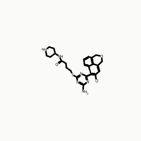 Nc1nc(SCCCC(=O)NC2CCNCC2)nc(-c2c(Cl)cc3c4c(cccc24)COC3)n1